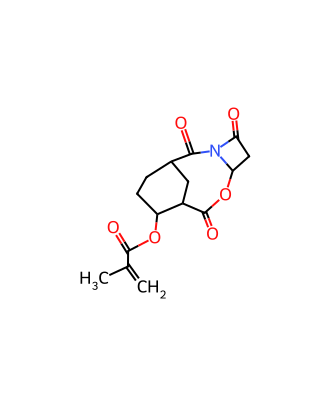 C=C(C)C(=O)OC1CCC2CC1C(=O)OC1CC(=O)N1C2=O